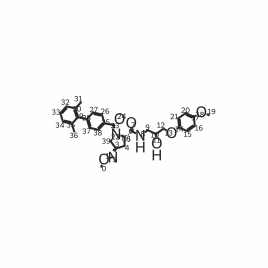 CON=C1C[C@@H](C(=O)NCC(O)COc2ccc(OC)cc2)N(C(=O)c2ccc(-c3c(C)cccc3C)cc2)C1